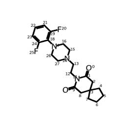 O=C1CC2(CCCC2)CC(=O)N1CCN1CCN(c2c(F)cccc2F)CC1